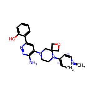 C=N/C=C\C(=C/C)N1CCN(c2cc(-c3ccccc3O)nnc2N)CC12COC2